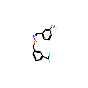 Cc1cccc(/[C]=N\OCc2cccc(C(F)F)c2)c1